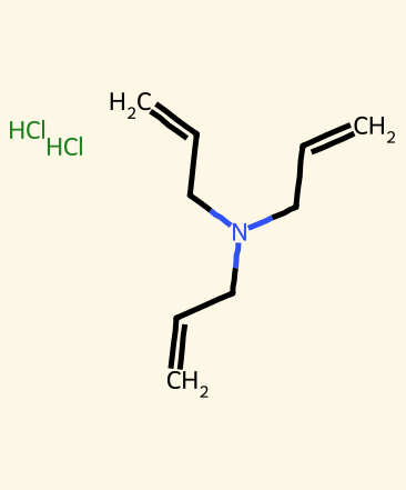 C=CCN(CC=C)CC=C.Cl.Cl